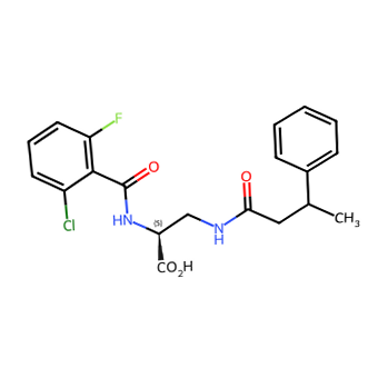 CC(CC(=O)NC[C@H](NC(=O)c1c(F)cccc1Cl)C(=O)O)c1ccccc1